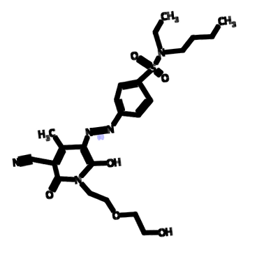 CCCCN(CC)S(=O)(=O)c1ccc(/N=N/c2c(C)c(C#N)c(=O)n(CCOCCO)c2O)cc1